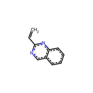 C=Cc1ncc2ccccc2n1